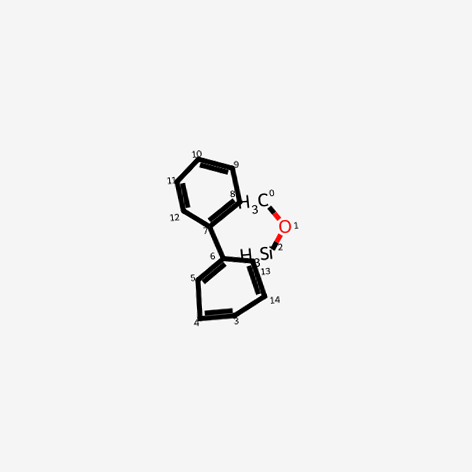 CO[SiH3].c1ccc(-c2ccccc2)cc1